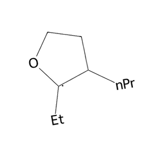 CCCC1CCO[C]1CC